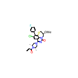 C=CC(=O)N1[C@H](C)CN(c2nc(=O)n3c4c(c(-c5ccc(F)cc5)c(Cl)cc24)SC[C@@H](OC)C3)C[C@@H]1C